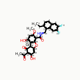 CCc1ccc2cc(F)c(F)cc2c1CNC(=O)c1c(OC)cc(O)c2c1OC1=CC(O)=C(C(C)=O)C(=O)[C@]12C